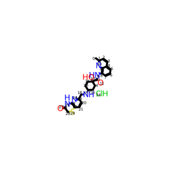 Cc1ccc2cccc(NC(=O)[C@]3(O)CC[C@@H](NCc4ccc5c(n4)NC(=O)CS5)CC3)c2n1.Cl